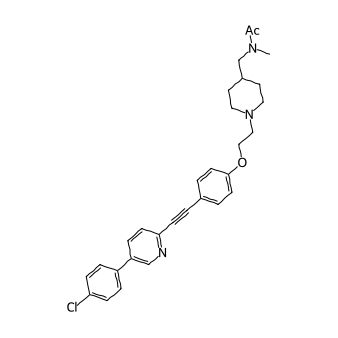 CC(=O)N(C)CC1CCN(CCOc2ccc(C#Cc3ccc(-c4ccc(Cl)cc4)cn3)cc2)CC1